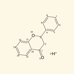 O=C1CC(c2ccccc2)Oc2ccccc21.[H+]